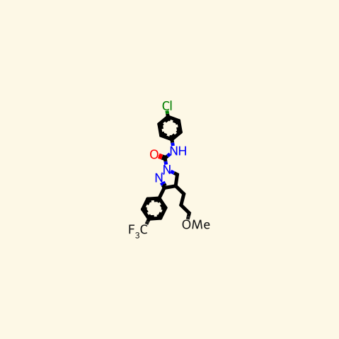 COCCCC1CN(C(=O)Nc2ccc(Cl)cc2)N=C1c1ccc(C(F)(F)F)cc1